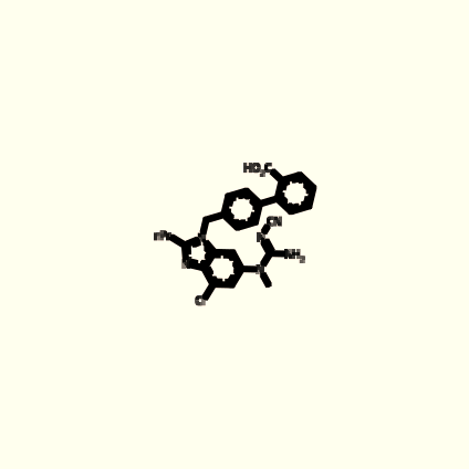 CCCc1nc2c(Cl)cc(N(C)C(N)=NC#N)cc2n1Cc1ccc(-c2ccccc2C(=O)O)cc1